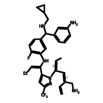 C=C/C(=C\C(=C/C)n1nc(C(F)(F)F)cc1C(=CCC)Nc1cc(C(NCC2CC2)c2cccc(N)c2)ccc1F)CN